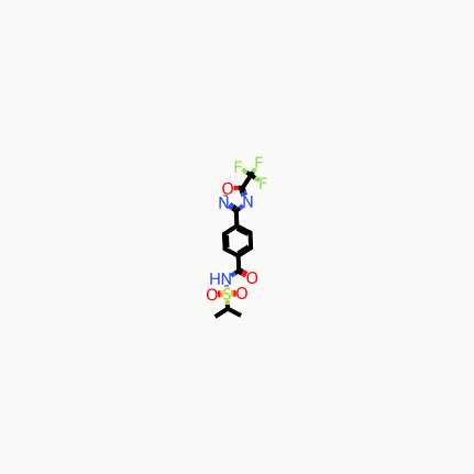 CC(C)S(=O)(=O)NC(=O)c1ccc(-c2noc(C(F)(F)F)n2)cc1